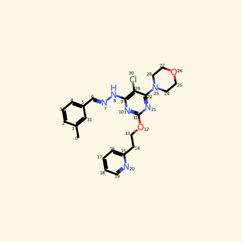 Cc1cccc(C=NNc2nc(OCCc3ccccn3)nc(N3CCOCC3)c2Cl)c1